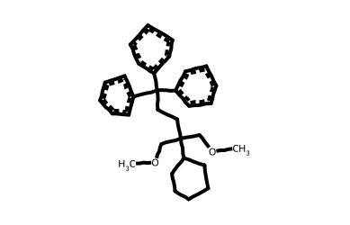 COCC(CCC(c1ccccc1)(c1ccccc1)c1ccccc1)(COC)C1CCCCC1